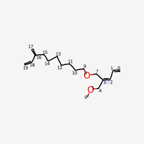 C=C/C=C(/COC)COCCCCCCCC(=C)C=C